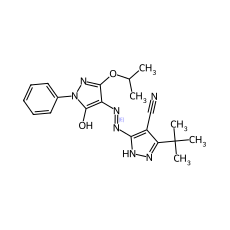 CC(C)Oc1nn(-c2ccccc2)c(O)c1/N=N/c1[nH]nc(C(C)(C)C)c1C#N